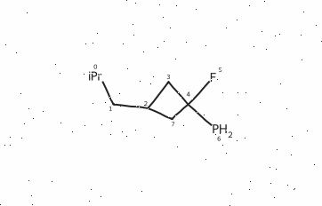 CC(C)CC1CC(F)(P)C1